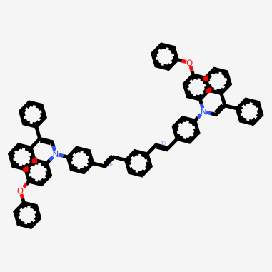 C(=C(c1ccccc1)c1ccccc1)N(c1ccc(/C=C/c2cccc(/C=C/c3ccc(N(C=C(c4ccccc4)c4ccccc4)c4ccc(Oc5ccccc5)cc4)cc3)c2)cc1)c1ccc(Oc2ccccc2)cc1